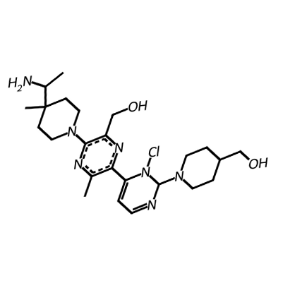 Cc1nc(N2CCC(C)(C(C)N)CC2)c(CO)nc1C1=CC=NC(N2CCC(CO)CC2)N1Cl